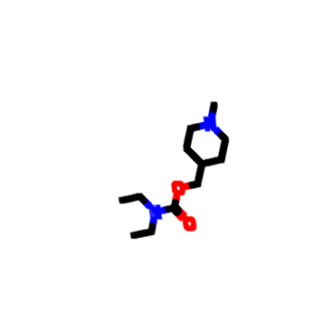 CCN(CC)C(=O)OCC1CCN(C)CC1